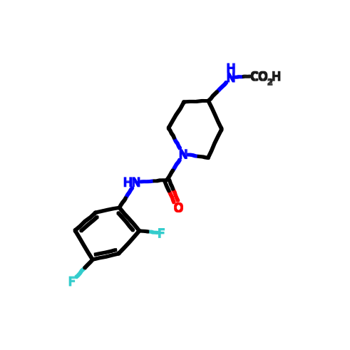 O=C(O)NC1CCN(C(=O)Nc2ccc(F)cc2F)CC1